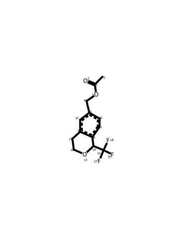 CC(=O)OCc1ccc2c(c1)CCOC2C(F)(F)F